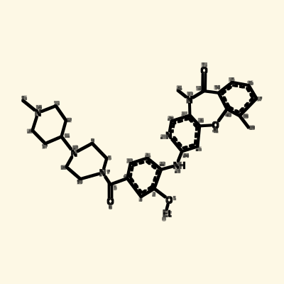 CCOc1cc(C(=O)N2CCN(C3CCN(C)CC3)CC2)ccc1Nc1cc2c(cn1)N(C)C(=O)c1cccc(C)c1O2